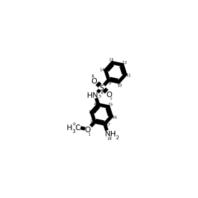 COc1cc(NS(=O)(=O)c2ccccc2)ccc1N